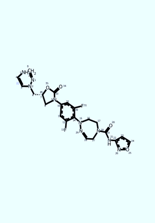 C=NN(/C=C\N)C[C@H]1CN(c2cc(F)c(N3CCN(C(=O)Nc4ccon4)CC=N3)c(F)c2)C(=O)O1